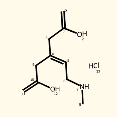 C=C(O)CC(=CCNC)CC(=C)O.Cl